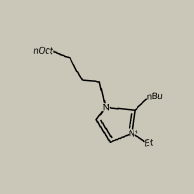 CCCCCCCCCCCn1cc[n+](CC)c1CCCC